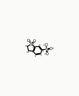 O=S(=O)(Cl)c1ccc2c(c1)S(=O)(=O)CC2